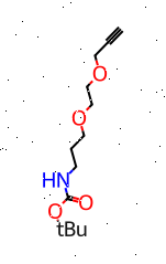 C#CCOCCOCCCNC(=O)OC(C)(C)C